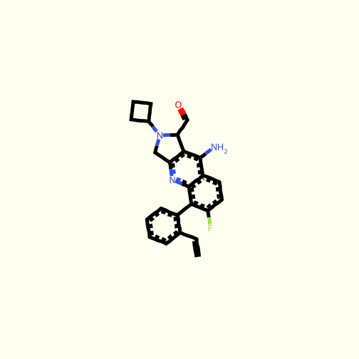 C=Cc1ccccc1-c1c(F)ccc2c(N)c3c(nc12)CN(C1CCC1)C3C=O